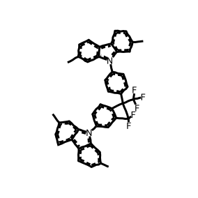 Cc1ccc2c3ccc(C)cc3n(-c3ccc(C4(C(F)(F)F)c5ccc(-n6c7cc(C)ccc7c7ccc(C)cc76)cc5C4(F)F)cc3)c2c1